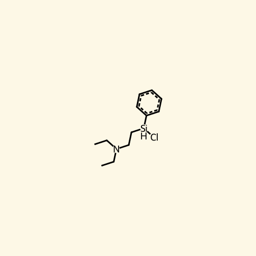 CCN(CC)CC[SiH](Cl)c1ccccc1